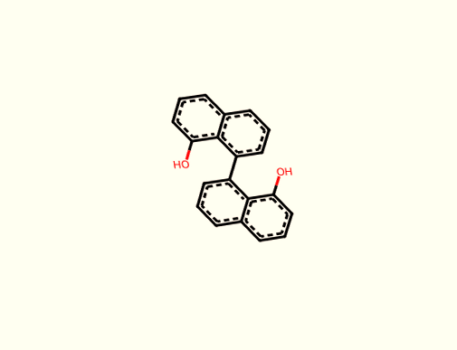 Oc1cccc2cccc(-c3cccc4cccc(O)c34)c12